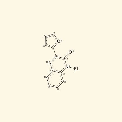 CCn1c(=O)c(-c2ccco2)nc2ccccc21